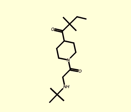 CCC(C)(C)C(=O)C1CCN(C(=O)CNC(C)(C)C)CC1